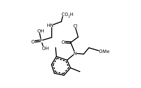 COCCN(C(=O)CCl)c1c(C)cccc1C.O=C(O)CNCP(=O)(O)O